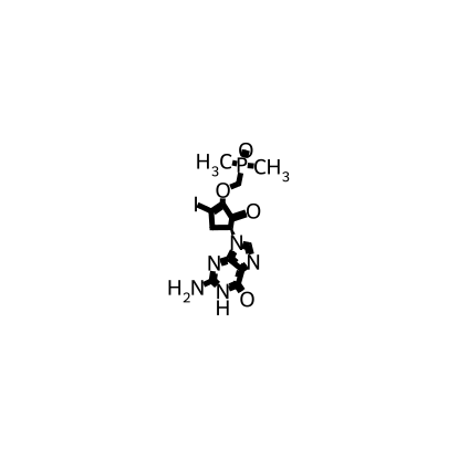 CP(C)(=O)COC1=C(I)C[C@H](n2cnc3c(=O)[nH]c(N)nc32)C1=O